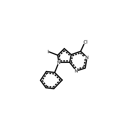 Clc1ncnc2c1cc(I)n2-c1ccccc1